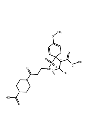 COC1=CCC([C@@H](C(=O)NO)C(C)C)(S(=O)(=O)NCCC(=O)N2CCN(C(=O)O)CC2)C=C1